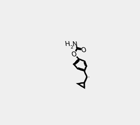 NC(=O)Oc1ccc([CH]C2CC2)cc1